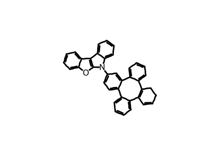 C1=CC2=C(CC1)c1ccccc1-c1cc(-n3c4ccccc4c4c5ccccc5oc43)ccc1-c1ccccc12